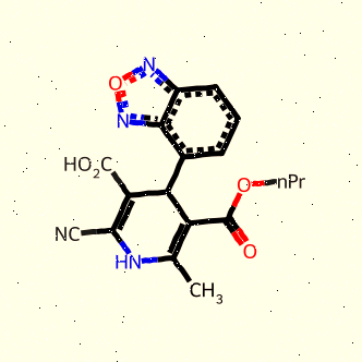 CCCOC(=O)C1=C(C)NC(C#N)=C(C(=O)O)C1c1cccc2nonc12